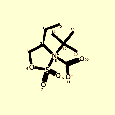 CC[C@@H]1COS(=O)(=O)[N+]1(C(=O)[O-])C(C)(C)C